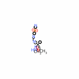 CCC[C@H](CC(C#N)(c1ccccc1)C1CCN(CC2CN(c3ccc(S(=O)(=O)c4ccncc4)cc3)C2)CC1)OC(=O)NC